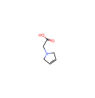 O=C(O)CN1CC=CC1